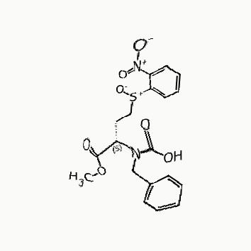 COC(=O)[C@H](CC[S+]([O-])c1ccccc1[N+](=O)[O-])N(Cc1ccccc1)C(=O)O